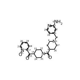 Nc1cc(CN2CCC(C(=O)N3CCC(C(=O)c4cccc[n+]4[O-])CC3)CC2)ccn1